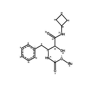 CC(C)(C)OC(=O)NC(Cc1ccccc1)C(O)C(=O)NC1CCC1